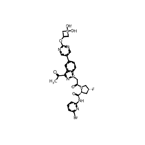 CC(=O)c1nn(CC(=O)N2C[C@H](F)C[C@H]2C(=O)Nc2cccc(Br)n2)c2ccc(-c3cnc(OC4CS(O)(O)C4)nc3)cc12